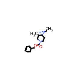 CCNC1CCN(C(=O)OCc2ccccc2)CC1C